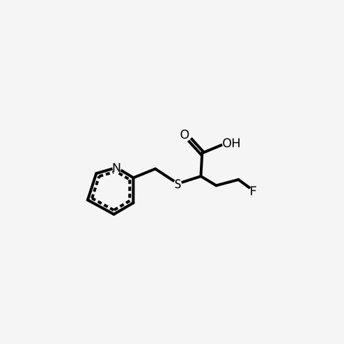 O=C(O)C(CCF)SCc1ccccn1